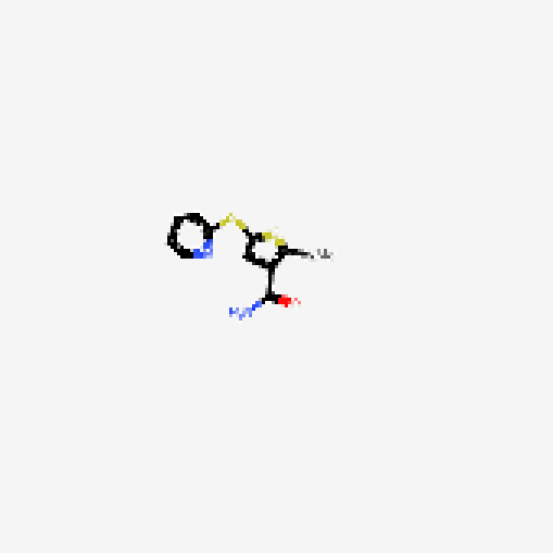 CNc1sc(Sc2ccccn2)cc1C(N)=O